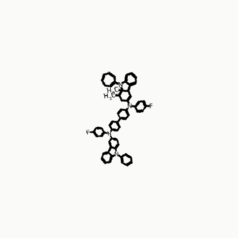 CC1CC(N(c2ccc(F)cc2)c2ccc(-c3ccc(N(c4ccc(F)cc4)c4ccc5c(c4)c4ccccc4n5-c4ccccc4)cc3)cc2)=CC2c3ccccc3N(C3=CCC=CC=C3)C12C